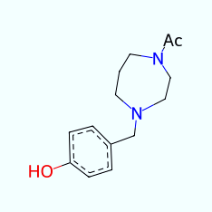 CC(=O)N1CCCN(Cc2ccc(O)cc2)CC1